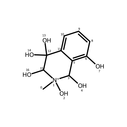 C[N+]1(O)C(O)c2c(O)cccc2C(O)(O)C1O